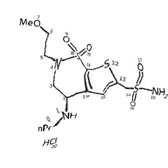 CCCNC1CN(CCOC)S(=O)(=O)c2sc(S(N)(=O)=O)cc21.Cl